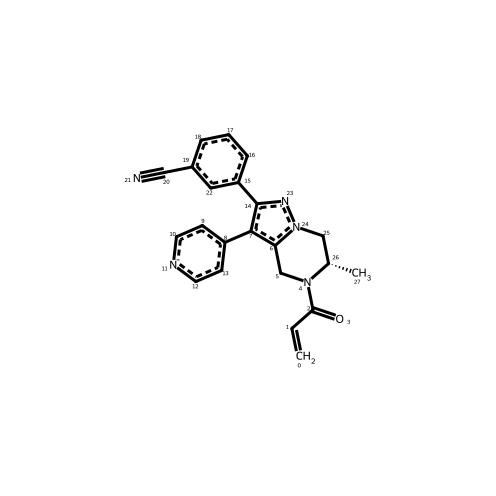 C=CC(=O)N1Cc2c(-c3ccncc3)c(-c3cccc(C#N)c3)nn2C[C@@H]1C